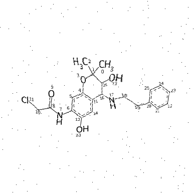 CC1(C)Oc2cc(NC(=O)CCl)c(O)cc2C(NCCc2ccccc2)C1O